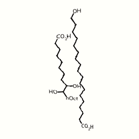 CCCCCCCCC(O)C(O)CCCCCCCC(=O)O.O=C(O)CCCCCCCCCCCCCCCCCO